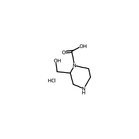 Cl.O=C(O)N1CCNCC1CO